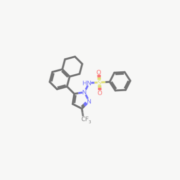 O=S(=O)(Nn1nc(C(F)(F)F)cc1-c1cccc2c1CCCC2)c1ccccc1